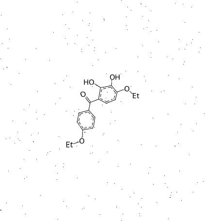 CCOc1ccc(C(=O)c2ccc(OCC)c(O)c2O)cc1